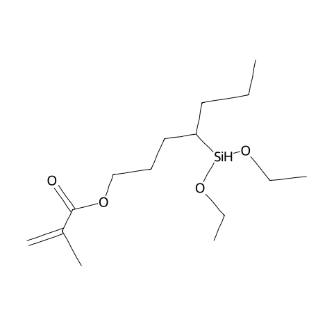 C=C(C)C(=O)OCCCC(CCC)[SiH](OCC)OCC